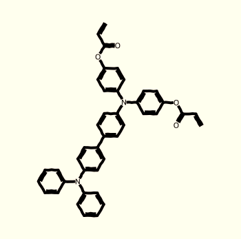 C=CC(=O)Oc1ccc(N(c2ccc(OC(=O)C=C)cc2)c2ccc(-c3ccc(N(c4ccccc4)c4ccccc4)cc3)cc2)cc1